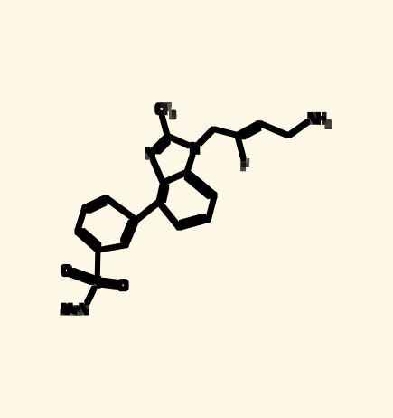 CNS(=O)(=O)c1cccc(-c2cccc3c2nc(C(F)(F)F)n3C/C(F)=C/CN)c1